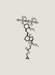 C=C1C(=CC=C2CCC[C@]3(C)C([C@H](C)OCC(=O)OCC4CC4)=CC[C@@H]23)C[C@@H](O[Si](C)(C)C(C)(C)C)C[C@@H]1O[Si](C)(C)C(C)(C)C